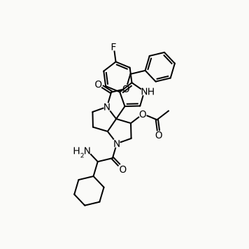 CC(=O)OC1CN(C(=O)C(N)C2CCCCC2)C2CCN(C(=O)OCc3ccccc3)C12c1c[nH]c2cc(F)ccc12